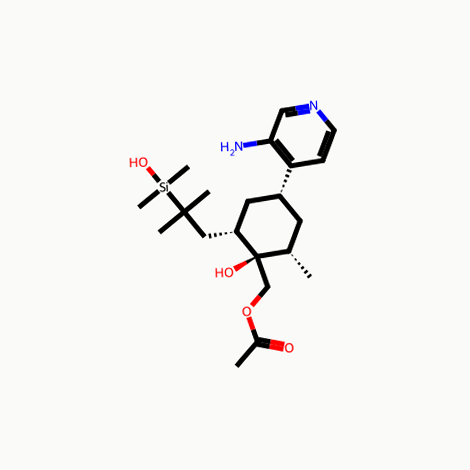 CC(=O)OC[C@]1(O)[C@H](CC(C)(C)[Si](C)(C)O)C[C@H](c2ccncc2N)C[C@@H]1C